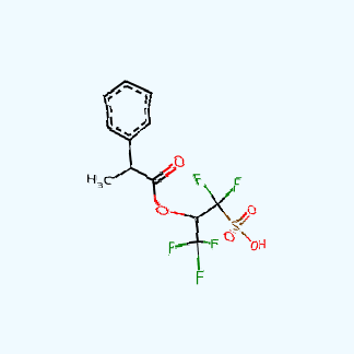 CC(C(=O)OC(C(F)(F)F)C(F)(F)S(=O)(=O)O)c1ccccc1